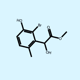 COC(=O)C(O)c1c(C)ccc(O)c1Br